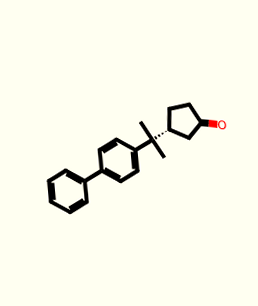 CC(C)(c1ccc(-c2ccccc2)cc1)[C@@H]1CCC(=O)C1